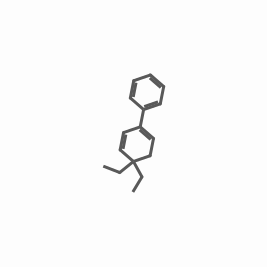 CCC1(CC)C=CC(c2ccccc2)=CC1